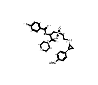 COc1ccc([C@@H]2C[C@H]2NCCS(=O)(=O)CC(NC(=O)c2ccc(F)cc2)C(=O)N2CCOCC2)cc1